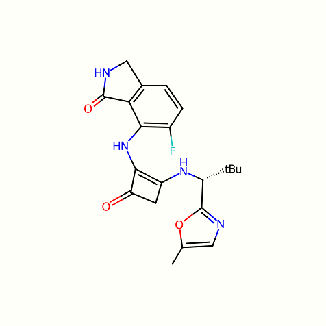 Cc1cnc([C@H](NC2=C(Nc3c(F)ccc4c3C(=O)NC4)C(=O)C2)C(C)(C)C)o1